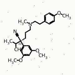 COc1ccc(CCN(C)CCC[C@@](C#N)(c2cc(OC)cc(OC)c2)C(C)C)cc1